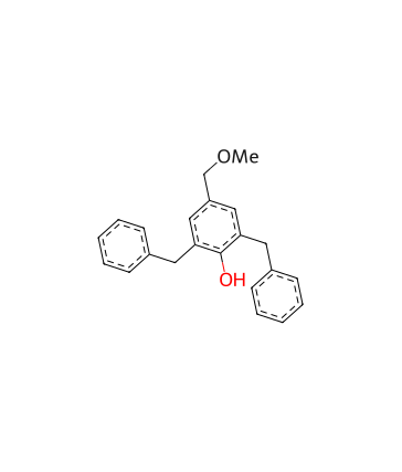 COCc1cc(Cc2ccccc2)c(O)c(Cc2ccccc2)c1